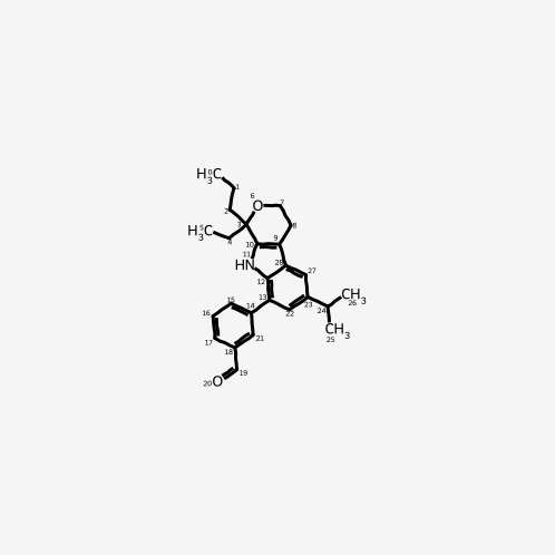 CCCC1(CC)OCCc2c1[nH]c1c(-c3cccc(C=O)c3)cc(C(C)C)cc21